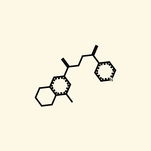 C=C(CCC(=C)c1cc(C)c2c(c1)CCCC2)c1ccncc1